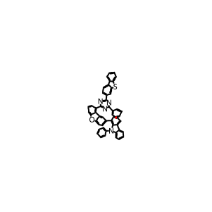 c1ccc(-c2nc(-c3ccc4c(c3)sc3ccccc34)nc(-c3cccc4oc5ccc(-c6cccc7c8ccccc8n(-c8ccccc8)c67)cc5c34)n2)cc1